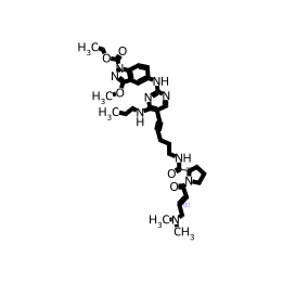 CCCNc1nc(Nc2ccc3c(c2)c(OC)nn3C(=O)OCC)ncc1C#CCCCNC(=O)[C@@H]1CCCN1C(=O)/C=C/CN(C)C